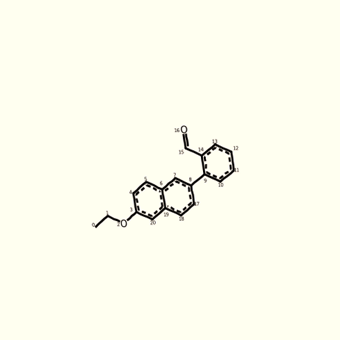 CCOc1ccc2cc(-c3ccccc3C=O)ccc2c1